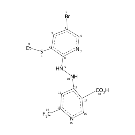 CCSc1cc(Br)cnc1NNc1cc(C(F)(F)F)ncc1C(=O)O